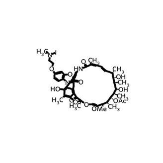 CO[C@H]1/C=C/O[C@@]2(C)Oc3c(C)c(O)c4c(=O)c(c5oc6cc(OCCN(C)I)ccc6nc-5c4c3C2=O)NC(=O)/C(C)=C\C=C\[C@H](C)[C@H](O)[C@@H](C)[C@@H](O)[C@@H](C)[C@H](OC(C)=O)[C@@H]1C